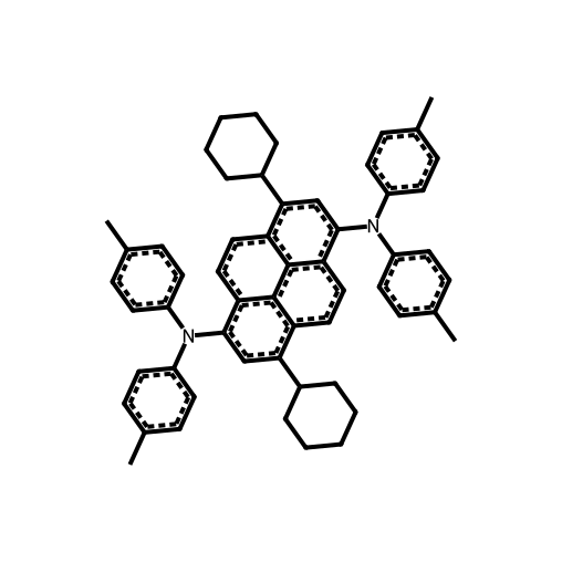 Cc1ccc(N(c2ccc(C)cc2)c2cc(C3CCCCC3)c3ccc4c(N(c5ccc(C)cc5)c5ccc(C)cc5)cc(C5CCCCC5)c5ccc2c3c54)cc1